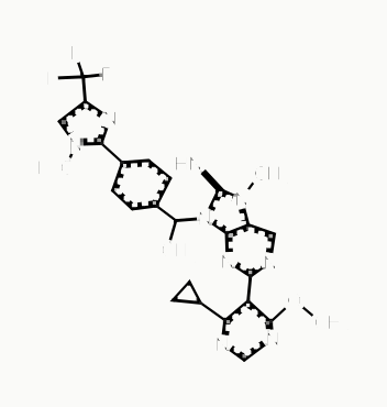 COc1ncnc(C2CC2)c1-c1ncc2c(n1)n(C(C)c1ccc(-c3nc(C(F)(F)F)cn3C)cc1)c(=N)n2C